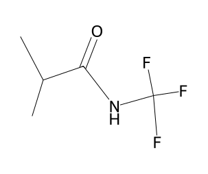 CC(C)C(=O)NC(F)(F)F